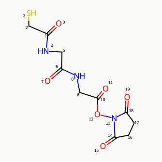 O=C(CS)NCC(=O)NCC(=O)ON1C(=O)CCC1=O